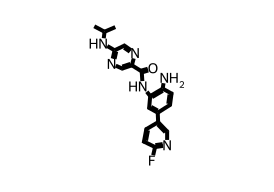 CC(C)Nc1cnc(C(=O)Nc2cc(-c3ccc(F)nc3)ccc2N)cn1